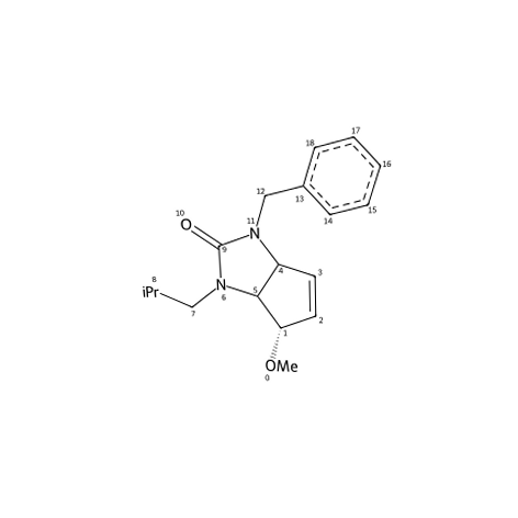 CO[C@H]1C=CC2C1N(CC(C)C)C(=O)N2Cc1ccccc1